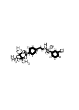 CC1(C)OB(c2ccc(CCNS(=O)(=O)c3cccc(Cl)c3)cc2)OC1(C)C